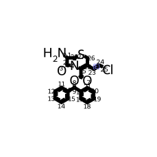 NC1C(=O)N2C(C(=O)OC(c3ccccc3)c3ccccc3)=C(/C=C/Cl)CSC12